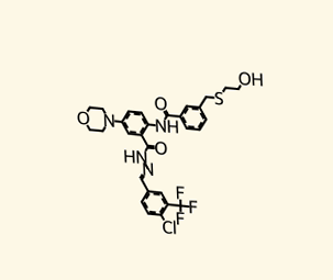 O=C(Nc1ccc(N2CCOCC2)cc1C(=O)NN=Cc1ccc(Cl)c(C(F)(F)F)c1)c1cccc(CSCCO)c1